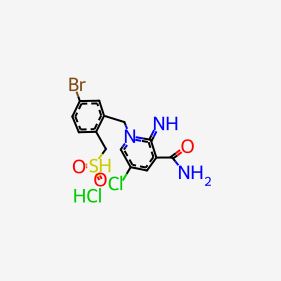 Cl.N=c1c(C(N)=O)cc(Cl)cn1Cc1cc(Br)ccc1C[SH](=O)=O